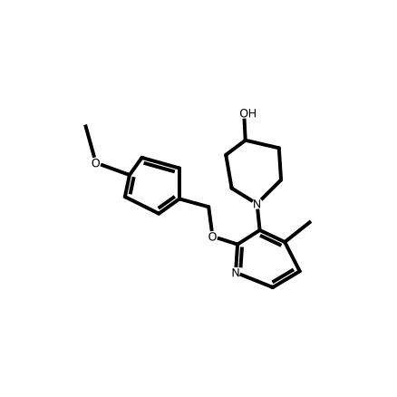 COc1ccc(COc2nccc(C)c2N2CCC(O)CC2)cc1